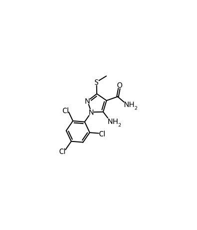 CSc1nn(-c2c(Cl)cc(Cl)cc2Cl)c(N)c1C(N)=O